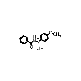 COc1ccc(NNC(=O)c2ccccc2)cc1.Cl